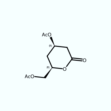 CC(=O)OC[C@H]1C[C@@H](OC(C)=O)CC(=O)O1